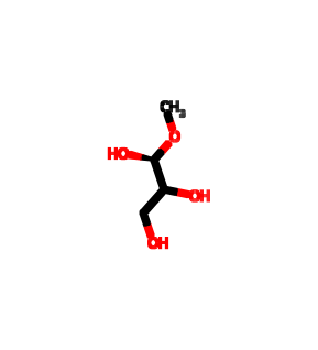 CO[C@H](O)C(O)CO